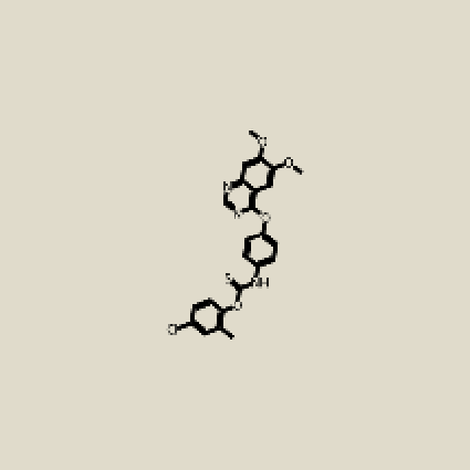 COc1cc2ncnc(Oc3ccc(NC(=S)Oc4ccc(Cl)cc4C)cc3)c2cc1OC